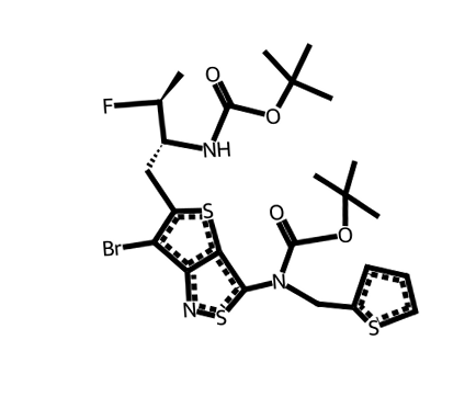 C[C@H](F)[C@@H](Cc1sc2c(N(Cc3cccs3)C(=O)OC(C)(C)C)snc2c1Br)NC(=O)OC(C)(C)C